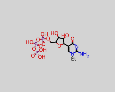 CCn1cc(C2OC(COP(=O)(O)OP(=O)(O)OP(=O)(O)O)C(O)C2O)c(=O)nc1N